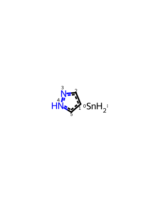 [SnH2].c1cn[nH]c1